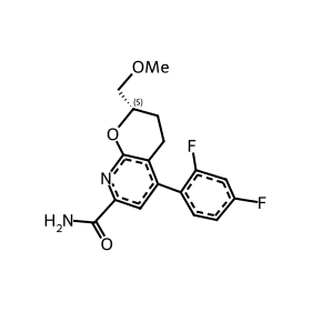 COC[C@@H]1CCc2c(-c3ccc(F)cc3F)cc(C(N)=O)nc2O1